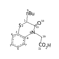 CCCCC1Sc2ccccc2N(CC(=O)O)C1=O